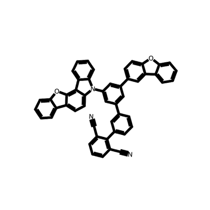 N#Cc1cccc(C#N)c1-c1cccc(-c2cc(-c3ccc4oc5ccccc5c4c3)cc(-n3c4ccccc4c4c5oc6ccccc6c5ccc43)c2)c1